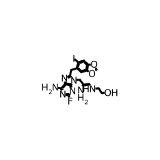 N/C(=C\NCCO)Cn1c(Cc2cc3c(cc2I)OCO3)nc2c(N)nc(F)nc21